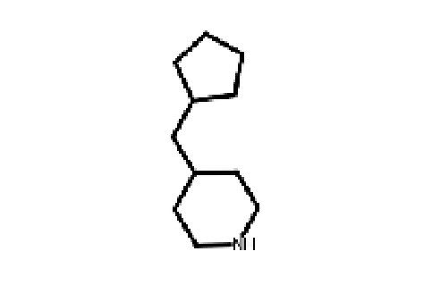 C1CCC(CC2CCNCC2)C1